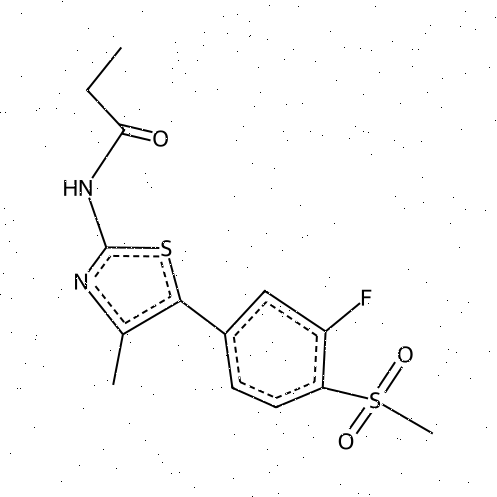 CCC(=O)Nc1nc(C)c(-c2ccc(S(C)(=O)=O)c(F)c2)s1